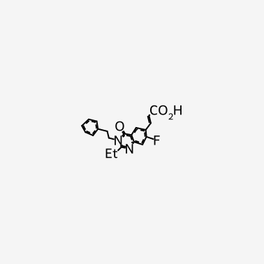 CCc1nc2cc(F)c(C=CC(=O)O)cc2c(=O)n1CCc1ccccc1